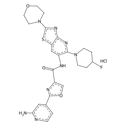 Cl.Nc1cc(-c2nc(C(=O)Nc3cc4sc(N5CCOCC5)nc4nc3N3CCC(F)CC3)co2)ccn1